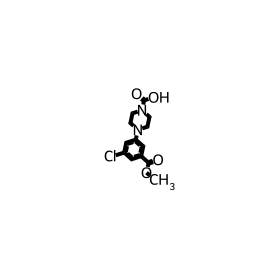 COC(=O)c1cc(Cl)cc(N2CCN(C(=O)O)CC2)c1